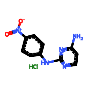 Cl.Nc1ccnc(Nc2ccc([N+](=O)[O-])cc2)n1